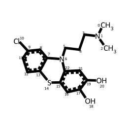 CN(C)CCCN1c2cc(Cl)ccc2Sc2cc(O)c(O)cc21